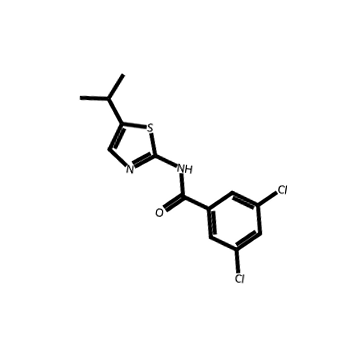 CC(C)c1cnc(NC(=O)c2cc(Cl)cc(Cl)c2)s1